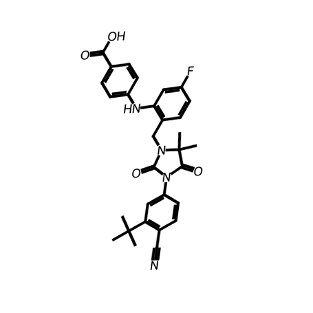 CC(C)(C)c1cc(N2C(=O)N(Cc3ccc(F)cc3Nc3ccc(C(=O)O)cc3)C(C)(C)C2=O)ccc1C#N